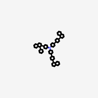 c1ccc(-c2c(-c3ccc(N(c4ccc(-c5ccc(-c6cccc7ccccc67)cc5)cc4)c4ccc(-c5ccc(-c6cccc7ccccc67)cc5)cc4)cc3)ccc3ccccc23)cc1